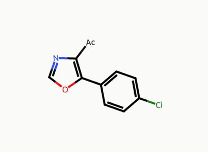 CC(=O)c1ncoc1-c1ccc(Cl)cc1